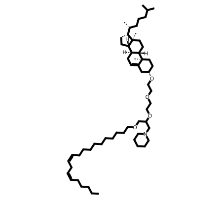 CCCCC/C=C\C/C=C\CCCCCCCCCCOCC(CN1CCCCC1)OCCOCCO[C@H]1CC[C@@]2(C)C(=CC[C@H]3[C@@H]4CC[C@H]([C@H](C)CCCC(C)C)[C@@]4(C)CC[C@@H]32)C1